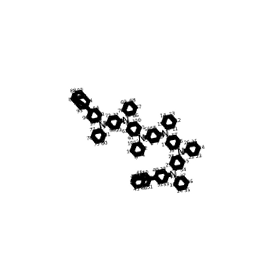 c1ccc(N(c2ccc(N(c3ccccc3)c3ccc(N(c4ccccc4)c4ccc(N(c5ccccc5)c5ccc(C67CC8CC(CC(C8)C6)C7)cc5)cc4)cc3)cc2)c2ccc(N(c3ccccc3)c3ccc(N(c4ccccc4)c4ccc(C56CC7CC(CC(C7)C5)C6)cc4)cc3)cc2)cc1